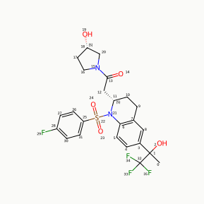 CC(O)(c1ccc2c(c1)CC[C@@H](CC(=O)N1CC[C@H](O)C1)N2S(=O)(=O)c1ccc(F)cc1)C(F)(F)F